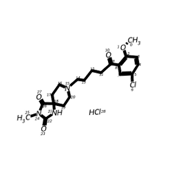 COc1ccc(Cl)cc1C(=O)CCCCN1CCC2(CC1)NC(=O)N(C)C2=O.Cl